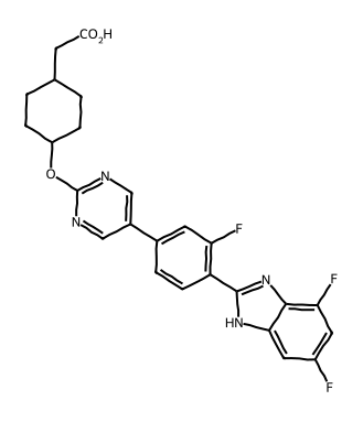 O=C(O)CC1CCC(Oc2ncc(-c3ccc(-c4nc5c(F)cc(F)cc5[nH]4)c(F)c3)cn2)CC1